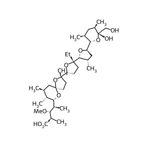 CC[C@@]1([C@@H]2O[C@@H]([C@H]3O[C@@](O)(CO)[C@H](C)C[C@@H]3C)C[C@@H]2C)CC[C@H]([C@]2(C)CC[C@]3(C[C@H](C)[C@@H](C)[C@@H]([C@@H](C)[C@@H](OC)[C@@H](C)C(=O)O)O3)O2)O1